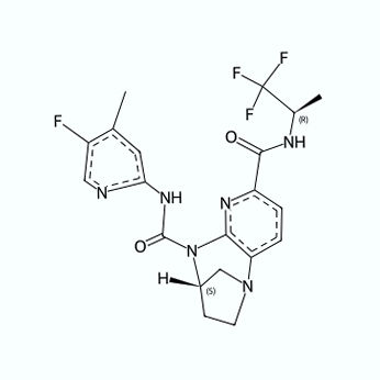 Cc1cc(NC(=O)N2c3nc(C(=O)N[C@H](C)C(F)(F)F)ccc3N3CC[C@H]2C3)ncc1F